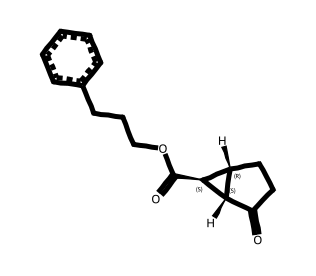 O=C1CC[C@@H]2[C@H]1[C@H]2C(=O)OCCCc1ccccc1